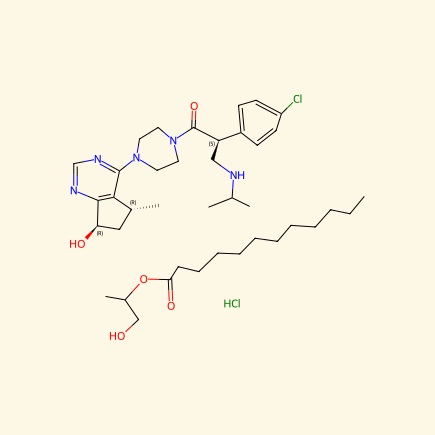 CC(C)NC[C@@H](C(=O)N1CCN(c2ncnc3c2[C@H](C)C[C@H]3O)CC1)c1ccc(Cl)cc1.CCCCCCCCCCCC(=O)OC(C)CO.Cl